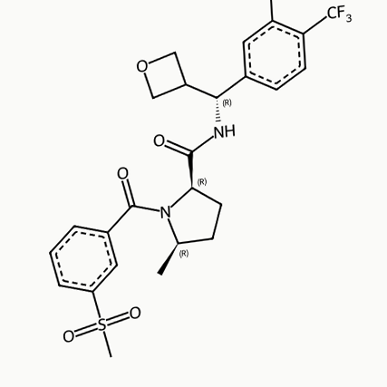 C[C@@H]1CC[C@H](C(=O)N[C@@H](c2ccc(C(F)(F)F)c(F)c2)C2COC2)N1C(=O)c1cccc(S(C)(=O)=O)c1